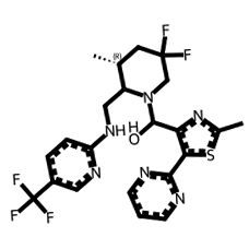 Cc1nc(C(O)N2CC(F)(F)C[C@@H](C)C2CNc2ccc(C(F)(F)F)cn2)c(-c2ncccn2)s1